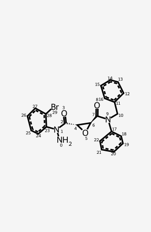 NN(C(=O)[C@H]1O[C@@H]1C(=O)N(Cc1ccccc1)c1ccccc1)c1ccccc1Br